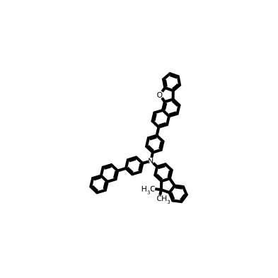 CC1(C)c2ccccc2-c2ccc(N(c3ccc(-c4ccc5ccccc5c4)cc3)c3ccc(-c4ccc5c(ccc6c7ccccc7oc56)c4)cc3)cc21